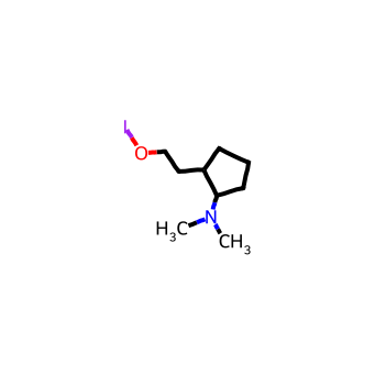 CN(C)C1CCCC1CCOI